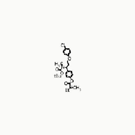 CCN(C)C(=O)Oc1ccc(C(CCOc2ccc(Cl)cc2)N(C)C(=O)OC(C)(C)C)cc1